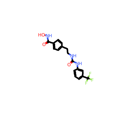 O=C(NCCc1ccc(C(=O)NO)cc1)Nc1cccc(C(F)(F)F)c1